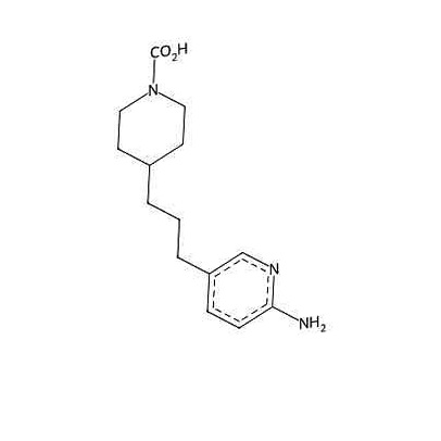 Nc1ccc(CCCC2CCN(C(=O)O)CC2)cn1